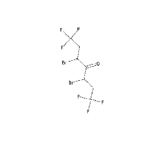 O=C(C(Br)CC(F)(F)F)C(Br)CC(F)(F)F